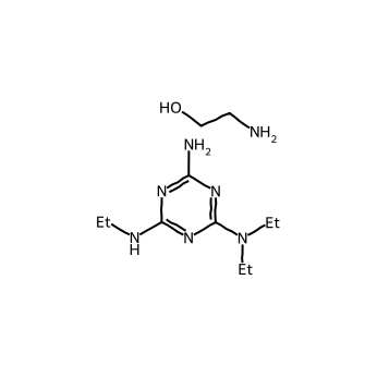 CCNc1nc(N)nc(N(CC)CC)n1.NCCO